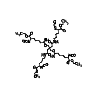 CCOC(=O)C(CCCCNC(=O)CC(COC(=N)CCCCC(N=C=O)C(=O)OCC)(COC(=N)CCCCC(N=C=O)C(=O)OCC)CC(=O)NCCCCC(N=C=O)C(=O)OCC)N=C=O